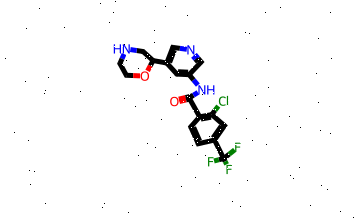 O=C(Nc1cncc(C2CNCCO2)c1)c1ccc(C(F)(F)F)cc1Cl